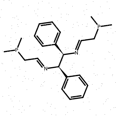 CP(C)C/C=N/[C@H](c1ccccc1)[C@H](/N=C/CP(C)C)c1ccccc1